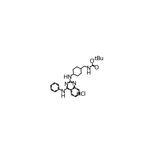 CC(C)(C)OC(=O)NCC1CCC(Nc2nc(Nc3ccccc3)c3ccccc3n2)CC1.Cl